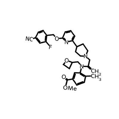 C=C(CN1CCC(c2cccc(OCc3ccc(C#N)cc3F)n2)CC1)N(CC1CCO1)c1cc(C(=O)OC)ccc1C